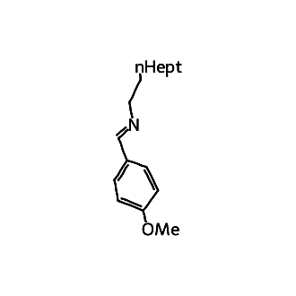 CCCCCCCCC/N=C/c1ccc(OC)cc1